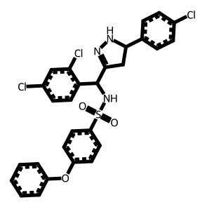 O=S(=O)(NC(C1=NNC(c2ccc(Cl)cc2)C1)c1ccc(Cl)cc1Cl)c1ccc(Oc2ccccc2)cc1